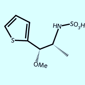 CO[C@H](c1cccs1)[C@@H](C)NS(=O)(=O)O